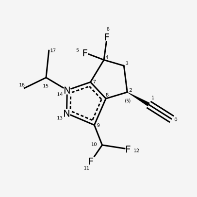 C#C[C@@H]1CC(F)(F)c2c1c(C(F)F)nn2C(C)C